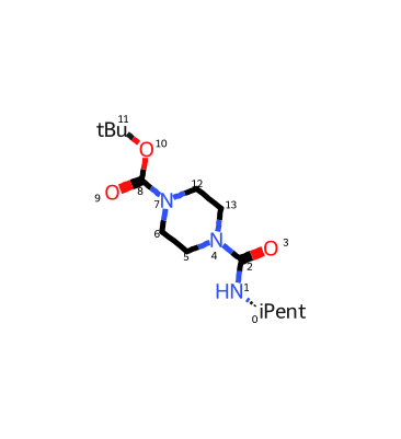 CCC[C@@H](C)NC(=O)N1CCN(C(=O)OC(C)(C)C)CC1